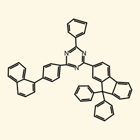 c1ccc(-c2nc(-c3ccc(-c4cccc5ccccc45)cc3)nc(-c3ccc4c(c3)C(c3ccccc3)(c3ccccc3)c3ccccc3-4)n2)cc1